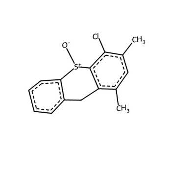 Cc1cc(C)c2c(c1Cl)[S+]([O-])c1ccccc1C2